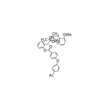 COc1ccccc1C[Si](C)(C)O[Si](C)(C)Cc1ccccc1OC(=O)c1ccc(Oc2ccc(C(C)=O)cc2)cc1